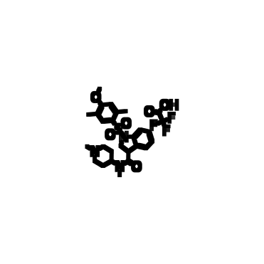 COc1cc(C)c(S(=O)(=O)N2CC(C(=O)N(C)C3CCN(C)CC3)c3ccccc32)cc1C.O=C(O)C(F)(F)F